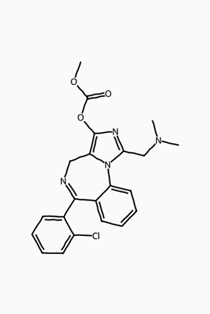 COC(=O)Oc1nc(CN(C)C)n2c1CN=C(c1ccccc1Cl)c1ccccc1-2